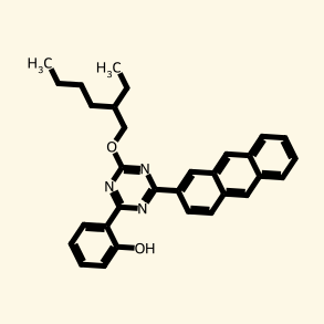 CCCCC(CC)COc1nc(-c2ccc3cc4ccccc4cc3c2)nc(-c2ccccc2O)n1